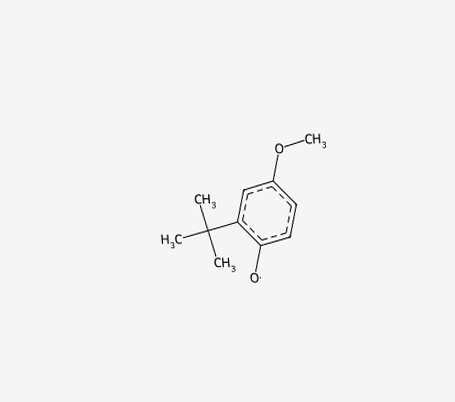 COc1ccc([O])c(C(C)(C)C)c1